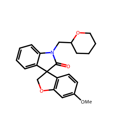 COc1ccc2c(c1)OCC21C(=O)N(CC2CCCCO2)c2ccccc21